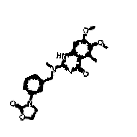 COc1cc2[nH]c(N(C)Cc3cccc(N4CCOC4=O)c3)nc(=O)c2c(C)c1OC